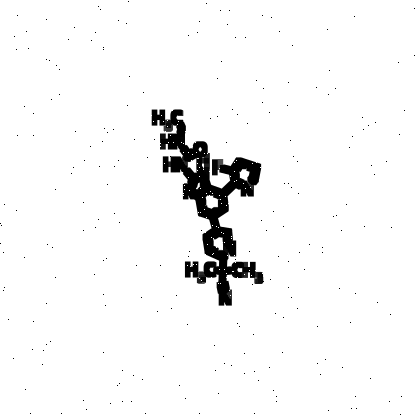 CCNC(=O)Nc1nc2cc(-c3ccc(C(C)(C)C#N)nc3)cc(-c3ncccc3F)c2[nH]1